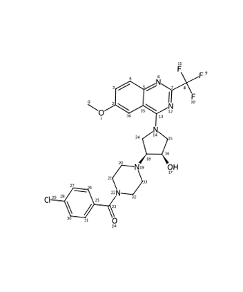 COc1ccc2nc(C(F)(F)F)nc(N3C[C@@H](O)[C@@H](N4CCN(C(=O)c5ccc(Cl)cc5)CC4)C3)c2c1